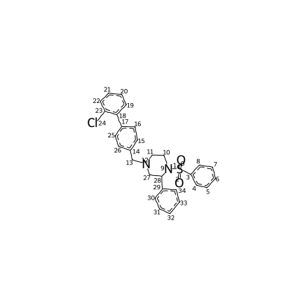 O=S(=O)(c1ccccc1)N1CCN(Cc2ccc(-c3ccccc3Cl)cc2)CC1c1ccccc1